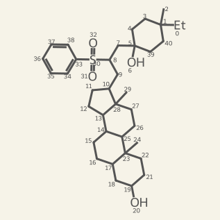 CCC1(C)CCC(O)(CC(CC2CCC3C4CCC5CC(O)CCC5(C)C4CCC23C)S(=O)(=O)c2ccccc2)CC1